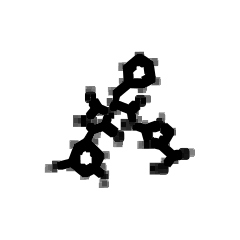 O=C(O)c1csc(NC(=O)[C@H](Cc2ccccc2)N2C(=O)N[C@H](c3cc(F)cc(F)c3)C2=O)n1